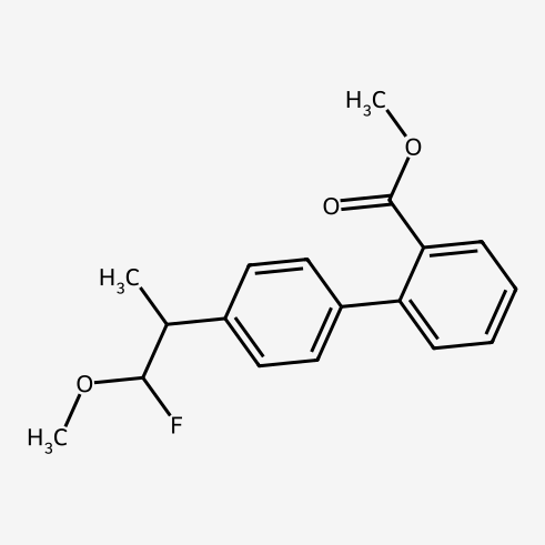 COC(=O)c1ccccc1-c1ccc(C(C)C(F)OC)cc1